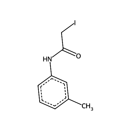 Cc1cccc(NC(=O)CI)c1